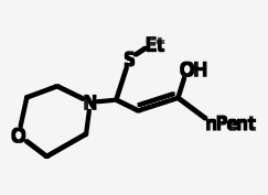 CCCCCC(O)=CC(SCC)N1CCOCC1